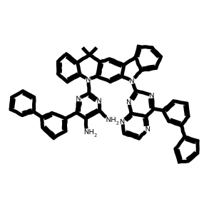 CC1(C)c2ccccc2N(c2nc(N)c(N)c(-c3cccc(-c4ccccc4)c3)n2)c2cc3c(cc21)c1ccccc1n3-c1nc(-c2cccc(-c3ccccc3)c2)c2nccnc2n1